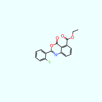 CCOC(=O)c1cccc2nc(-c3ccccc3F)oc(=O)c12